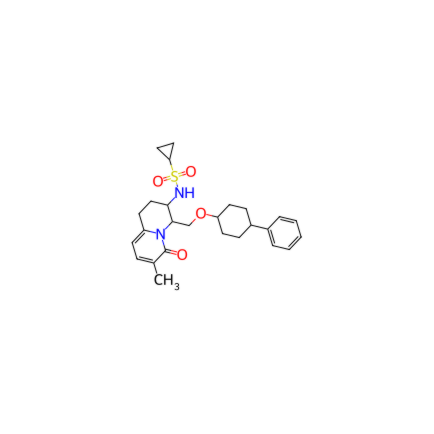 Cc1ccc2n(c1=O)C(COC1CCC(c3ccccc3)CC1)C(NS(=O)(=O)C1CC1)CC2